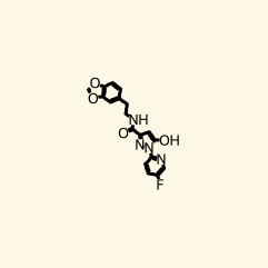 O=C(NCCc1ccc2c(c1)OCO2)c1cc(O)n(-c2ccc(F)cn2)n1